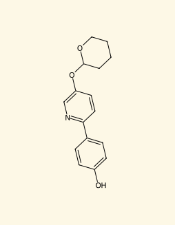 Oc1ccc(-c2ccc(OC3CCCCO3)cn2)cc1